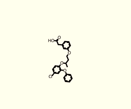 CC(CCOc1cccc(CC(=O)O)c1)Oc1ccc(Cl)cc1Oc1ccccc1